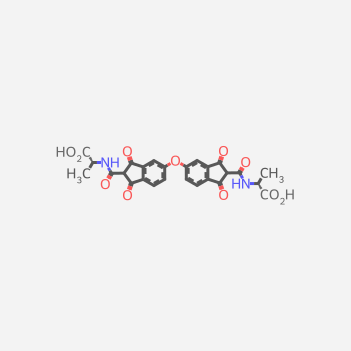 C[C@H](NC(=O)C1C(=O)c2ccc(Oc3ccc4c(c3)C(=O)C(C(=O)N[C@@H](C)C(=O)O)C4=O)cc2C1=O)C(=O)O